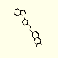 Clc1cc2ccc(CCC3CCC(n4ccc5cnccc54)C3)cc2nc1Cl